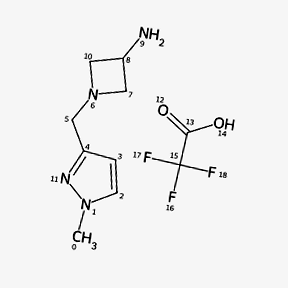 Cn1ccc(CN2CC(N)C2)n1.O=C(O)C(F)(F)F